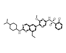 CCc1cc(-c2ncc(NS(=O)(=O)c3ccccc3Cl)nc2OC)cc2cnc(NC3CCC(N(C)C)CC3)nc12